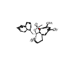 CS(=O)(=O)O[C@]1(Cc2cccc3ccccc23)NCCc2cc(O)c(O)cc21